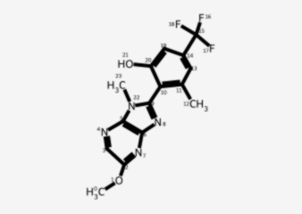 COc1cnc2c(n1)nc(-c1c(C)cc(C(F)(F)F)cc1O)n2C